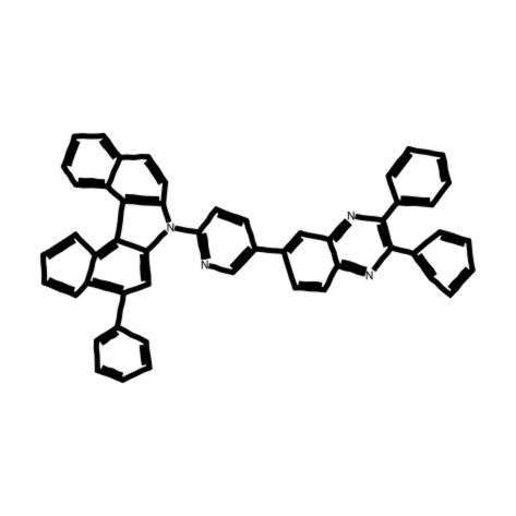 c1ccc(-c2nc3ccc(-c4ccc(-n5c6ccc7ccccc7c6c6c7ccccc7c(-c7ccccc7)cc65)nc4)cc3nc2-c2ccccc2)cc1